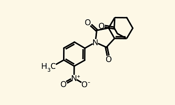 Cc1ccc(N2C(=O)C3=C4CCC(C(=O)C4)C3C2=O)cc1[N+](=O)[O-]